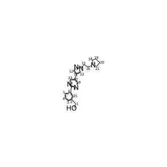 OCc1cccc(-c2ncc(-c3cnn(CCN4CCCC4)c3)cn2)c1